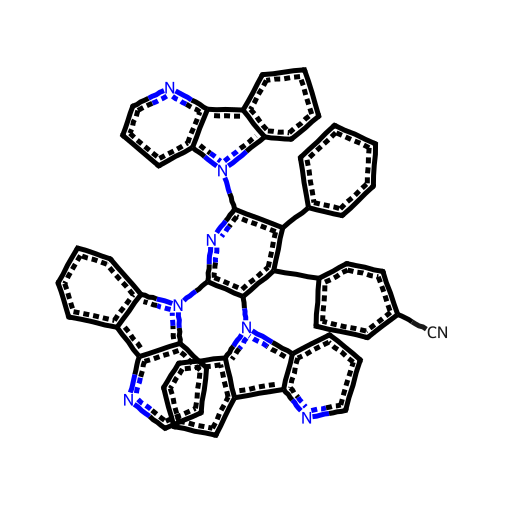 N#Cc1ccc(-c2c(-c3ccccc3)c(-n3c4ccccc4c4ncccc43)nc(-n3c4ccccc4c4ncccc43)c2-n2c3ccccc3c3ncccc32)cc1